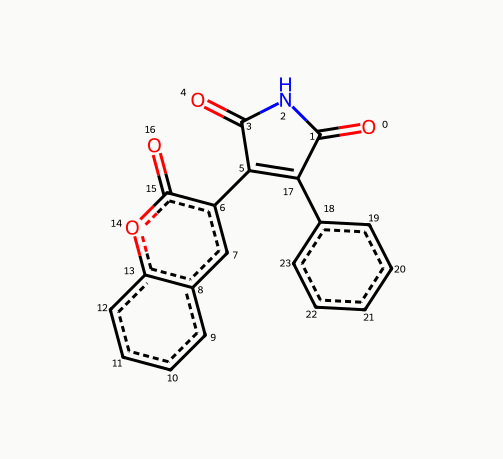 O=C1NC(=O)C(c2cc3ccccc3oc2=O)=C1c1ccccc1